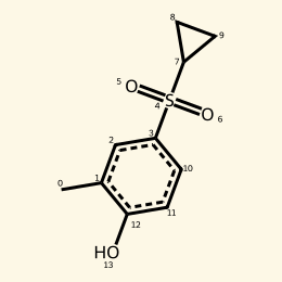 Cc1cc(S(=O)(=O)C2CC2)ccc1O